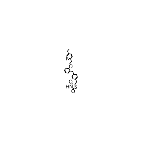 CCc1ccc(CCOc2ccccc2Cc2ccc(CC3SC(=O)NC3=O)cc2)nc1